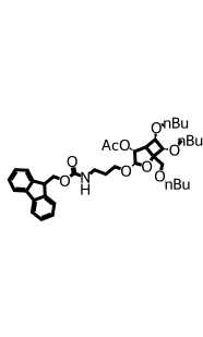 CCCCOCC12O[C@H](OCCCNC(=O)OCC3c4ccccc4-c4ccccc43)[C@H](OC(C)=O)C1[C@@H](OCCCC)[C@@H]2OCCCC